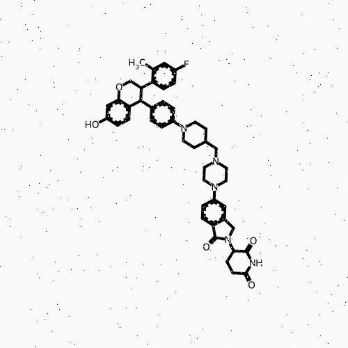 Cc1cc(F)ccc1C1COc2cc(O)ccc2C1c1ccc(N2CCC(CN3CCN(c4ccc5c(c4)CN(C4CCC(=O)NC4=O)C5=O)CC3)CC2)cc1